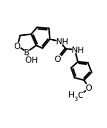 COc1ccc(NC(=O)Nc2ccc3c(c2)B(O)OC3)cc1